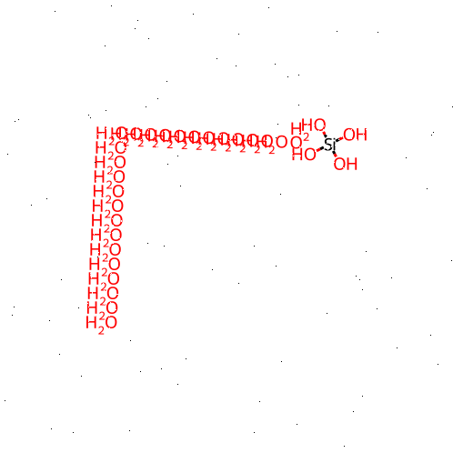 O.O.O.O.O.O.O.O.O.O.O.O.O.O.O.O.O.O.O.O.O.O.O.O.O.O.O[Si](O)(O)O